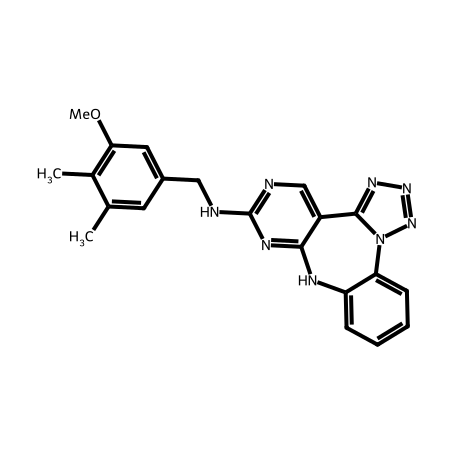 COc1cc(CNc2ncc3c(n2)Nc2ccccc2-n2nnnc2-3)cc(C)c1C